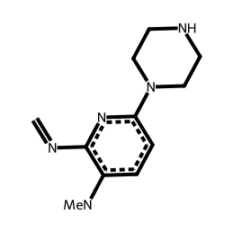 C=Nc1nc(N2CCNCC2)ccc1NC